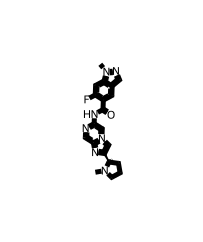 CN1CCC[C@@H]1c1cn2cc(NC(=O)c3cc4cnn(C)c4cc3F)ncc2n1